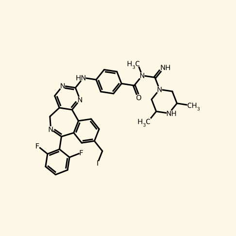 CC1CN(C(=N)N(C)C(=O)c2ccc(Nc3ncc4c(n3)-c3ccc(CI)cc3C(c3c(F)cccc3F)=NC4)cc2)CC(C)N1